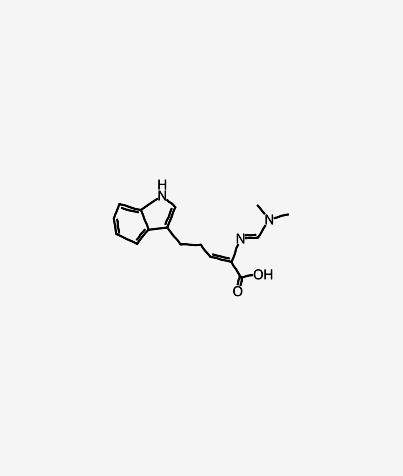 CN(C)C=NC(=CCCc1c[nH]c2ccccc12)C(=O)O